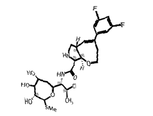 CSC1OC([C@H](NC(=O)[C@H]2NC[C@@H]3C=C(c4cc(F)cc(F)c4)CCO[C@@H]23)[C@H](C)Cl)CC(O)C(O)[C@H]1O